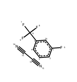 Fc1cccc(C(F)(F)F)c1.N#CC#N